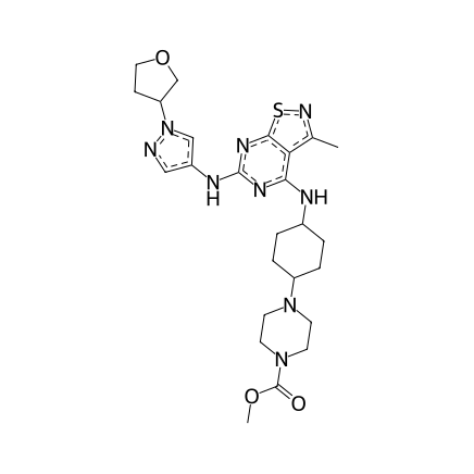 COC(=O)N1CCN(C2CCC(Nc3nc(Nc4cnn(C5CCOC5)c4)nc4snc(C)c34)CC2)CC1